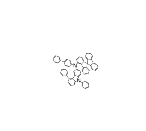 c1ccc(-c2ccc(N(c3ccc4c(c3)c3c(-c5ccccc5)cccc3n4-c3ccccc3)c3cccc4c3-c3ccccc3C43c4ccccc4-c4ccccc43)cc2)cc1